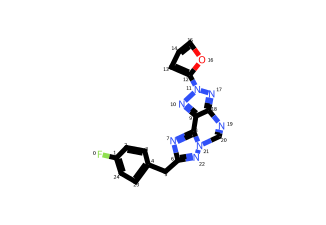 Fc1ccc(Cc2nc3c4nn(-c5ccco5)nc4ncn3n2)cc1